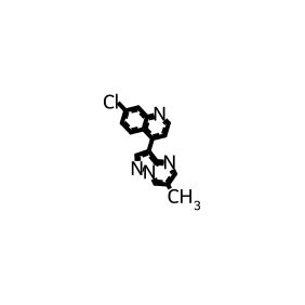 Cc1cnc2c(-c3ccnc4cc(Cl)ccc34)cnn2c1